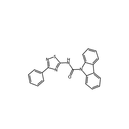 O=C(Nc1nc(-c2ccccc2)ns1)n1c2ccccc2c2ccccc21